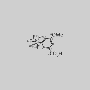 COc1cc(C(=O)O)cc(S(F)(F)(F)(F)F)c1